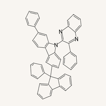 c1ccc(-c2ccc3c4cc(C5(c6ccccc6)c6ccccc6-c6ccccc65)ccc4n(-c4nc5ccccc5nc4-c4ccccc4)c3c2)cc1